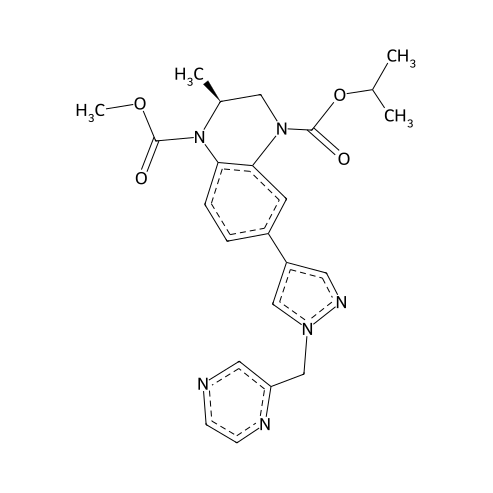 COC(=O)N1c2ccc(-c3cnn(Cc4cnccn4)c3)cc2N(C(=O)OC(C)C)C[C@@H]1C